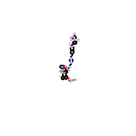 C#Cc1c(F)ccc2cc(OCOC)cc(-c3ncc4c(N5CC6CCC(C5)N6C(=O)OC(C)(C)C)nc(OCCN5CCN(CCC6CCC7(CC6)CCN(C(=O)c6ccc(Cl)c(N8CCC(=O)NC8=O)c6)CC7)CC5)nc4c3F)c12